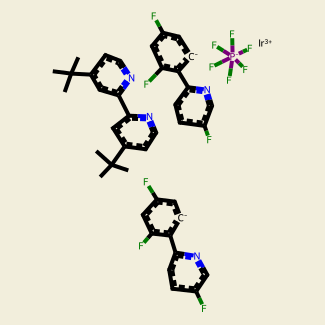 CC(C)(C)c1ccnc(-c2cc(C(C)(C)C)ccn2)c1.F[P-](F)(F)(F)(F)F.Fc1ccc(-c2[c-]cc(F)cc2F)nc1.Fc1ccc(-c2[c-]cc(F)cc2F)nc1.[Ir+3]